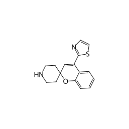 C1=C(c2nccs2)c2ccccc2OC12CCNCC2